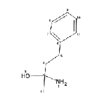 CC(N)(O)CCc1ccccc1